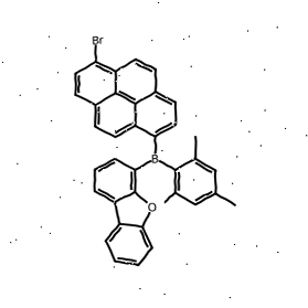 Cc1cc(C)c(B(c2ccc3ccc4c(Br)ccc5ccc2c3c54)c2cccc3c2oc2ccccc23)c(C)c1